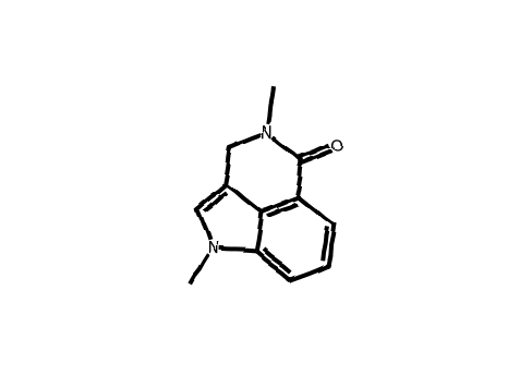 CN1Cc2cn(C)c3cccc(c23)C1=O